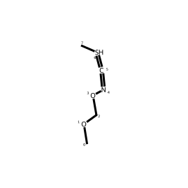 COCON=C=[SH]C